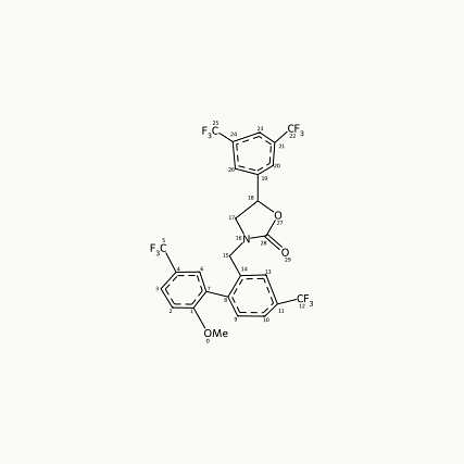 COc1ccc(C(F)(F)F)cc1-c1ccc(C(F)(F)F)cc1CN1CC(c2cc(C(F)(F)F)cc(C(F)(F)F)c2)OC1=O